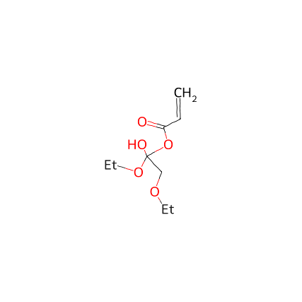 C=CC(=O)OC(O)(COCC)OCC